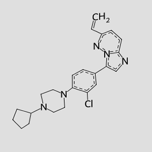 C=Cc1ccc2ncc(-c3ccc(N4CCN(C5CCCC5)CC4)c(Cl)c3)n2n1